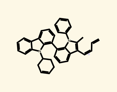 C=C/C=C\c1c(C)n(-c2ccccc2)c2c(-c3cccc4c5ccccc5n(C5CC=CCC5)c34)cccc12